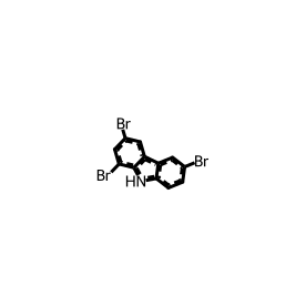 Brc1ccc2[nH]c3c(Br)cc(Br)cc3c2c1